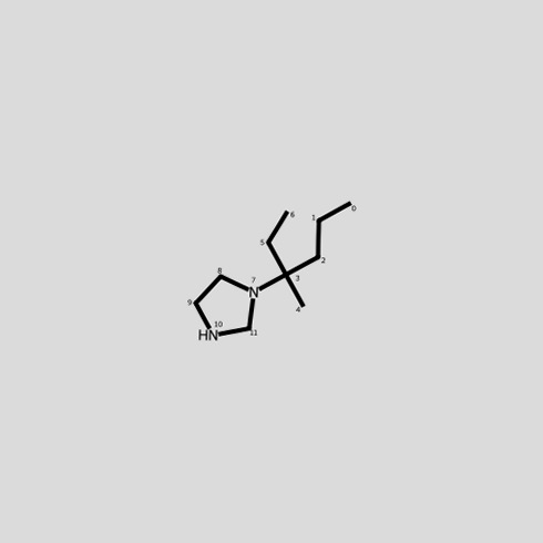 CCCC(C)(CC)N1CCNC1